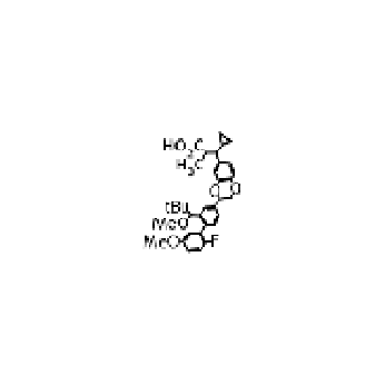 COc1ccc(F)c(-c2ccc([C@@H]3COc4ccc(C(C5CC5)[C@H](C)C(=O)O)cc4O3)cc2C(OC)C(C)(C)C)c1